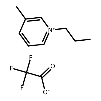 CCC[n+]1cccc(C)c1.O=C([O-])C(F)(F)F